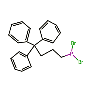 BrP(Br)CCCC(c1ccccc1)(c1ccccc1)c1ccccc1